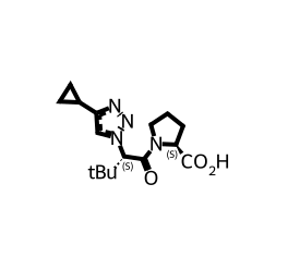 CC(C)(C)[C@@H](C(=O)N1CCC[C@H]1C(=O)O)n1cc(C2CC2)nn1